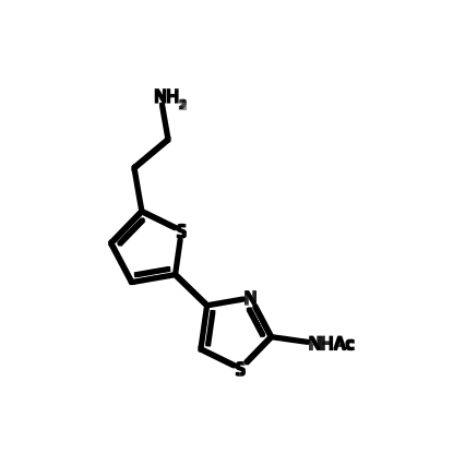 CC(=O)Nc1nc(-c2ccc(CCN)s2)cs1